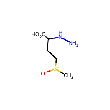 C[S+]([O-])CCC(NN)C(=O)O